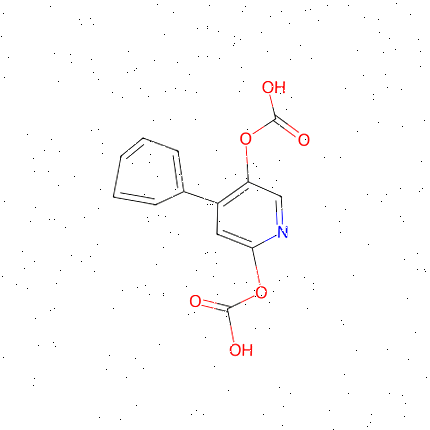 O=C(O)Oc1cc(-c2ccccc2)c(OC(=O)O)cn1